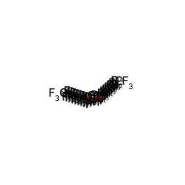 O=S(=O)(OS(=O)(=O)C(F)(F)C(F)(F)C(F)(F)C(F)(F)C(F)(F)C(F)(F)C(F)(F)C(F)(F)C(F)(F)C(F)(F)F)C(F)(F)C(F)(F)C(F)(F)C(F)(F)C(F)(F)C(F)(F)C(F)(F)C(F)(F)C(F)(F)C(F)(F)F